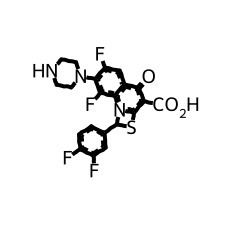 O=C(O)c1c2n(c3c(F)c(N4CCNCC4)c(F)cc3c1=O)C(c1ccc(F)c(F)c1)S2